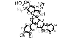 CC(C)C[C@H](NC(=O)[C@H]1Cc2c([nH]c3ccccc23)CN1C(=O)c1ccc(Cl)c(Cl)c1)C(=O)N[C@@H](CC(=O)O)C(N)=O